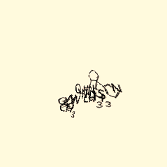 CNC(=S)C1(c2cccnc2)CCCCC1CCN(C)C(=O)/N=N/S(C)(=O)=O